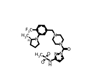 C[C@@H]1CCCN1c1cc(CN2CCN(C(=O)n3ccc(NS(C)(=O)=O)n3)CC2)ccc1C(F)(F)F